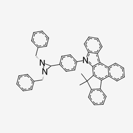 CC1(C)c2ccccc2-c2c1c1c(c3ccccc23)c2ccccc2n1-c1ccc(C2[N@@](Cc3ccccc3)[N@@]2Cc2ccccc2)cc1